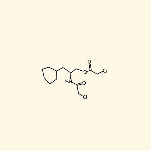 O=C(CCl)NC(COC(=O)CCl)CC1CCCCC1